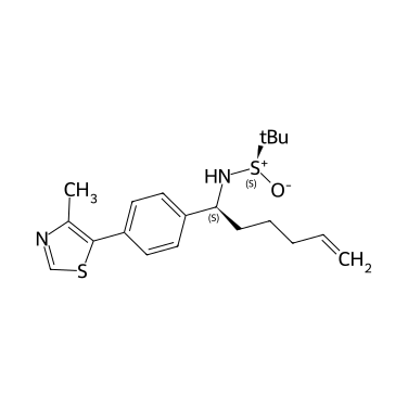 C=CCCC[C@H](N[S@+]([O-])C(C)(C)C)c1ccc(-c2scnc2C)cc1